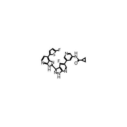 O=C(Nc1cncc(-c2cnc3[nH]nc(-c4nc5c(-c6ccc(F)s6)ccnc5[nH]4)c3c2F)c1)C1CC1